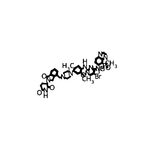 COc1cc(N2CCN(Cc3cccc4c3CN(C3CCC(=O)NC3=O)C4=O)CC2)c(C)cc1Nc1ncc(Br)c(Nc2ccc3nccnc3c2P(C)(C)=O)n1